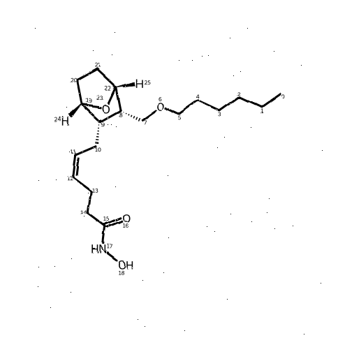 CCCCCCOC[C@@H]1[C@H](C/C=C\CCC(=O)NO)[C@@H]2CC[C@H]1O2